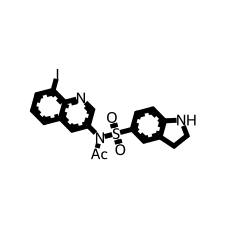 CC(=O)N(c1cnc2c(I)cccc2c1)S(=O)(=O)c1ccc2c(c1)CCN2